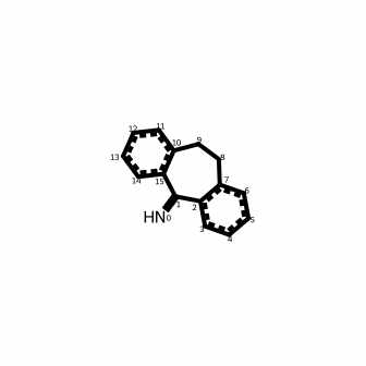 N=C1c2ccccc2CCc2ccccc21